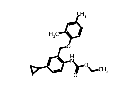 CCOC(=O)Nc1ccc(C2CC2)cc1COc1ccc(C)cc1C